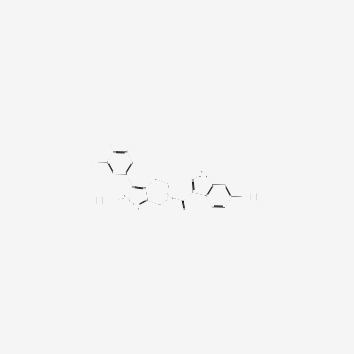 Cc1ccc2c(C(=O)N3CCc4c(nn(C)c4-c4cc(F)c(F)c(F)c4)C3)c[nH]c2c1